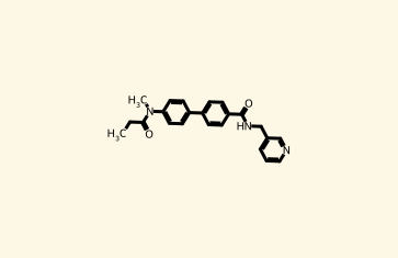 CCC(=O)N(C)c1ccc(-c2ccc(C(=O)NCc3cccnc3)cc2)cc1